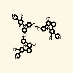 COc1ccc2c(c1)c1cc(COc3ccc4c(c3)c3cc(OCCOc5ccc6c(c5)c5cc(OC)ccc5n6-c5cc(C#N)c(-c6ccncc6)cc5-c5ccccc5)ccc3n4-c3cc(C#N)c(-c4ccncc4)cc3C)ccc1n2-c1cc(C#N)c(-c2ccncc2)cc1-c1ccccc1